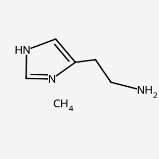 C.NCCc1c[nH]cn1